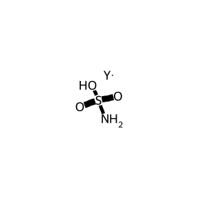 NS(=O)(=O)O.[Y]